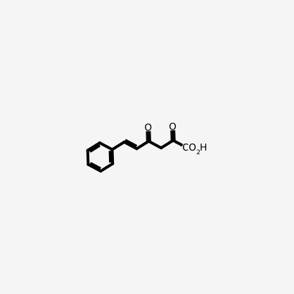 O=C(C=Cc1ccccc1)CC(=O)C(=O)O